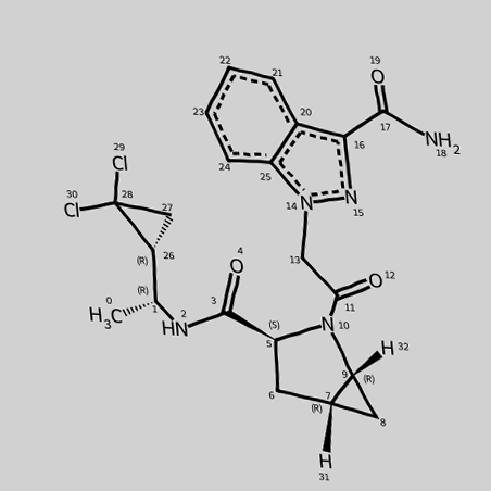 C[C@@H](NC(=O)[C@@H]1C[C@H]2C[C@H]2N1C(=O)Cn1nc(C(N)=O)c2ccccc21)[C@H]1CC1(Cl)Cl